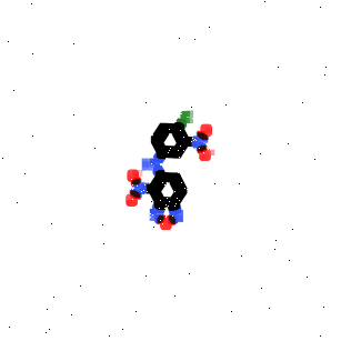 O=[N+]([O-])c1cc(Nc2ccc3nonc3c2[N+](=O)[O-])ccc1Cl